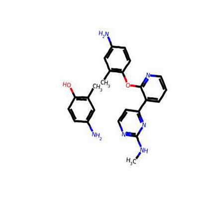 CNc1nccc(-c2cccnc2Oc2ccc(N)cc2C)n1.Cc1cc(N)ccc1O